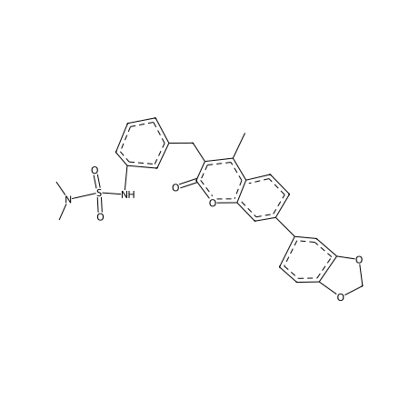 Cc1c(Cc2cccc(NS(=O)(=O)N(C)C)c2)c(=O)oc2cc(-c3ccc4c(c3)OCO4)ccc12